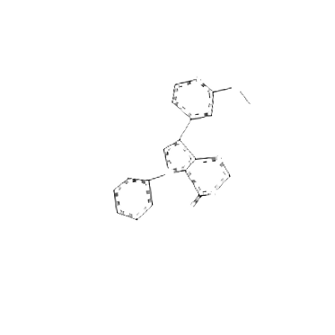 COc1cc(-c2cn(-c3ccccc3)c3c(=O)[nH]cnc23)ccn1